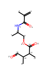 C=C(C)C(=O)NC(C)COC(=O)C(C)C(C)C=O